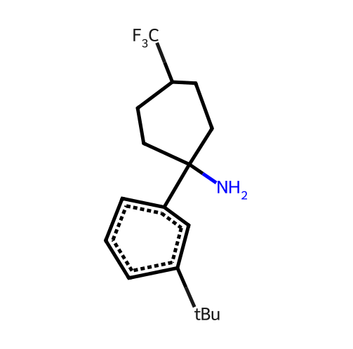 CC(C)(C)c1cccc(C2(N)CCC(C(F)(F)F)CC2)c1